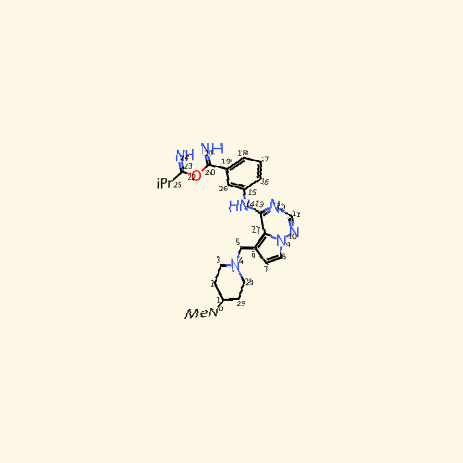 CNC1CCN(Cc2ccn3ncnc(Nc4cccc(C(=N)OC(=N)C(C)C)c4)c23)CC1